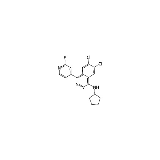 Fc1cc(-c2nnc(NC3CCCC3)c3cc(Cl)c(Cl)cc23)ccn1